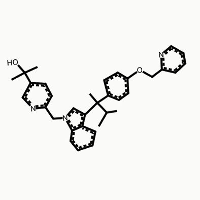 CC(C)C(C)(c1ccc(OCc2ccccn2)cc1)c1cn(Cc2ccc(C(C)(C)O)cn2)c2ccccc12